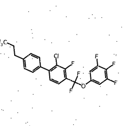 CCCc1ccc(-c2ccc(C(F)(F)Oc3cc(F)c(F)c(F)c3)c(F)c2Cl)cc1